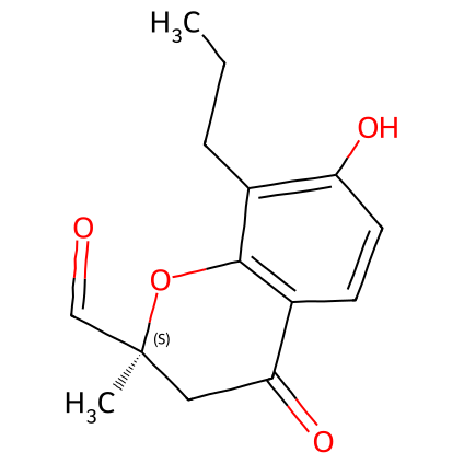 CCCc1c(O)ccc2c1O[C@](C)(C=O)CC2=O